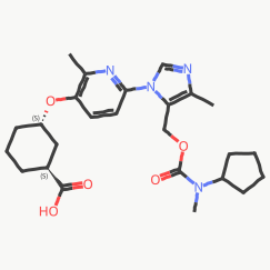 Cc1nc(-n2cnc(C)c2COC(=O)N(C)C2CCCC2)ccc1O[C@H]1CCC[C@H](C(=O)O)C1